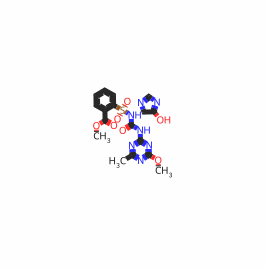 COC(=O)c1ccccc1S(=O)(=O)NC(=O)Nc1nc(C)nc(OC)n1.OC1=NC=NC1